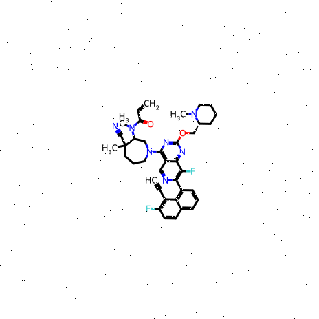 C#Cc1c(F)ccc2cccc(-c3ncc4c(N5CCCC(C)(C#N)C(N(C)C(=O)C=C)C5)nc(OC[C@@H]5CCCCN5C)nc4c3F)c12